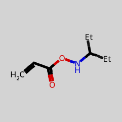 C=CC(=O)ONC(CC)CC